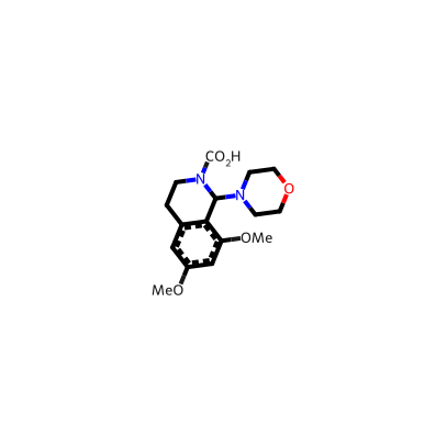 COc1cc2c(c(OC)c1)C(N1CCOCC1)N(C(=O)O)CC2